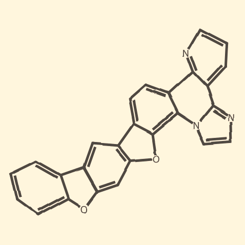 c1ccc2c(c1)oc1cc3oc4c(ccc5c6ncccc6c6nccn6c54)c3cc12